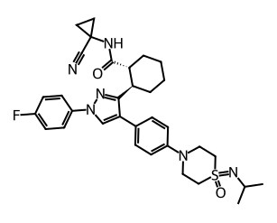 CC(C)N=S1(=O)CCN(c2ccc(-c3cn(-c4ccc(F)cc4)nc3[C@@H]3CCCC[C@H]3C(=O)NC3(C#N)CC3)cc2)CC1